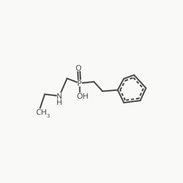 CCNCP(=O)(O)CCc1ccccc1